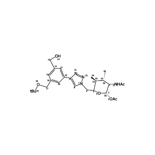 CC(=O)NC1[C@H](OC(C)=O)OC(Cn2cc(-c3cc(CO)cc(COC(C)(C)C)c3)nn2)[C@@H](C)[C@@H]1C